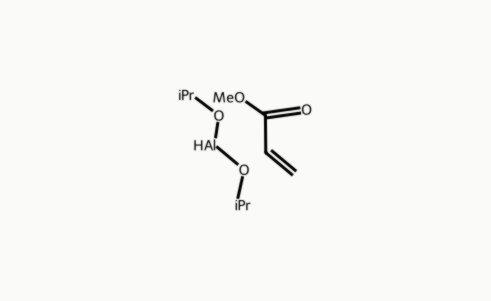 C=CC(=O)OC.CC(C)[O][AlH][O]C(C)C